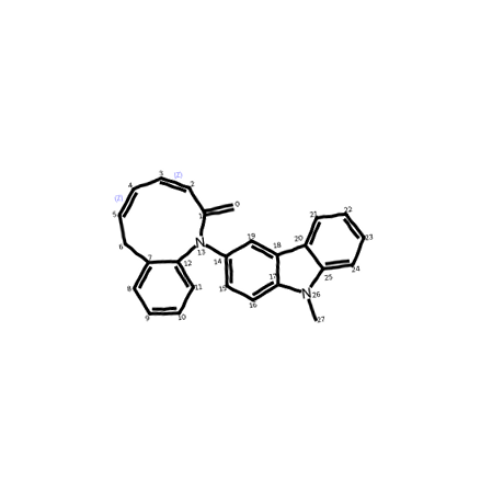 C=C1/C=C\C=C/Cc2ccccc2N1c1ccc2c(c1)c1ccccc1n2C